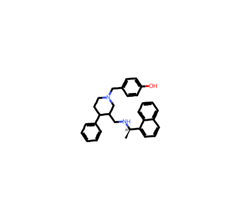 C[C@@H](NCC1CN(Cc2ccc(O)cc2)CCC1c1ccccc1)c1cccc2ccccc12